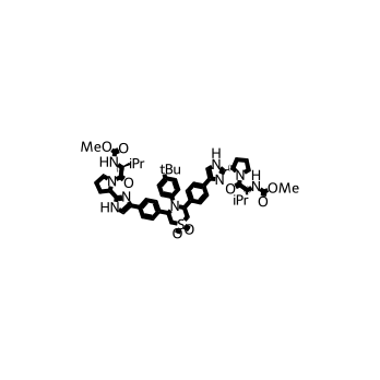 COC(=O)N[C@H](C(=O)N1CCCC1c1nc(-c2ccc(C3CS(=O)(=O)CC(c4ccc(-c5c[nH]c([C@@H]6CCCN6C(=O)[C@@H](NC(=O)OC)C(C)C)n5)cc4)N3c3ccc(C(C)(C)C)cc3)cc2)c[nH]1)C(C)C